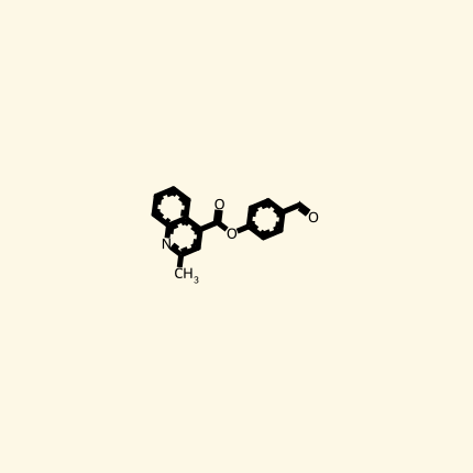 Cc1cc(C(=O)Oc2ccc([C]=O)cc2)c2ccccc2n1